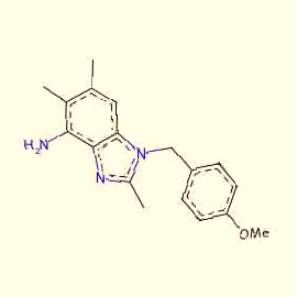 COc1ccc(Cn2c(C)nc3c(N)c(C)c(C)cc32)cc1